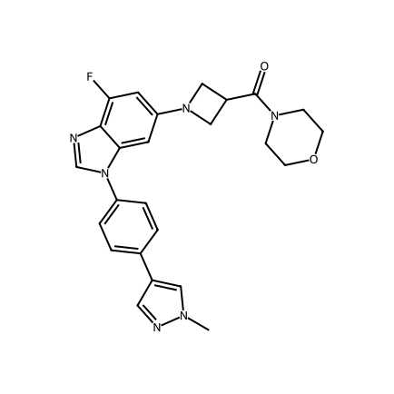 Cn1cc(-c2ccc(-n3cnc4c(F)cc(N5CC(C(=O)N6CCOCC6)C5)cc43)cc2)cn1